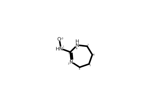 [O]NC1=NCCCCN1